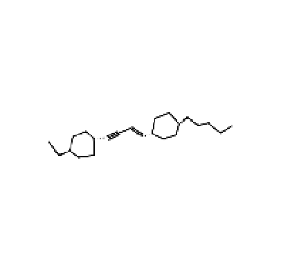 CCCCC[C@H]1CC[C@H](C=CC#C[C@H]2CC[C@H](CC)CC2)CC1